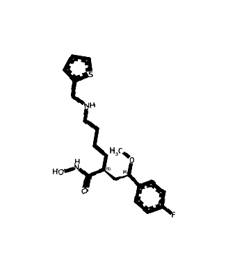 CO[C@H](C[C@H](CCCCNCc1cccs1)C(=O)NO)c1ccc(F)cc1